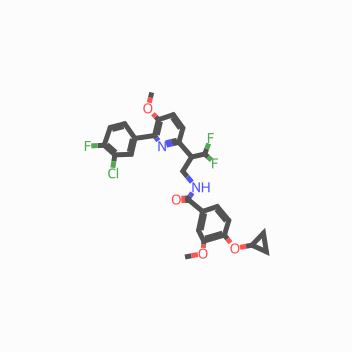 COc1cc(C(=O)NCC(c2ccc(OC)c(-c3ccc(F)c(Cl)c3)n2)C(F)F)ccc1OC1CC1